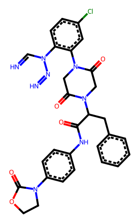 N=CN(N=N)c1ccc(Cl)cc1N1CC(=O)N(C(Cc2ccccc2)C(=O)Nc2ccc(N3CCOC3=O)cc2)CC1=O